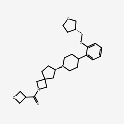 O=C(C1COC1)N1CC2(CC[C@@H](N3CCC(c4ccccc4OC[C@@H]4CCOC4)CC3)C2)C1